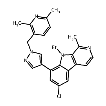 CCn1c2c(-c3cnn(Cc4ccc(C)nc4C)c3)cc(Cl)cc2c2ccnc(C)c21